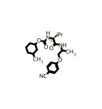 CC1CCCC(OC(=O)N[C@H](C(=O)NC(C)COc2ccc(C#N)cc2)C(C)C)C1